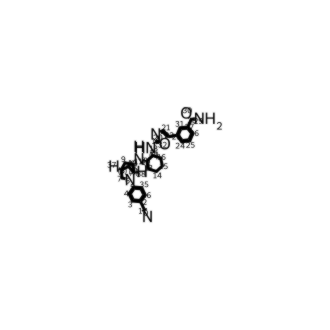 N#Cc1ccc(N2C[C@@H]3C[C@H](N[C@@H]4CCCC[C@H]4Nc4ncc(-c5cccc(C(N)=O)c5)o4)[C@H]2C3)cc1